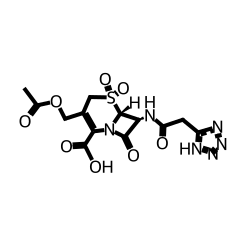 CC(=O)OCC1=C(C(=O)O)N2C(=O)[C@@H](NC(=O)Cc3nnn[nH]3)[C@H]2S(=O)(=O)C1